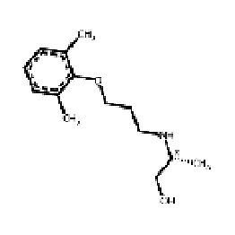 Cc1cccc(C)c1OCCCN[C@H](C)CO